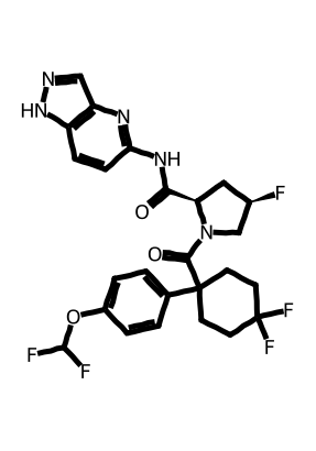 O=C(Nc1ccc2[nH]ncc2n1)[C@H]1C[C@@H](F)CN1C(=O)C1(c2ccc(OC(F)F)cc2)CCC(F)(F)CC1